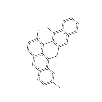 Cc1ccc2cc3cc[n+](C)c4c3c(c2c1)Sc1cc2ccccc2c(C)c1-4